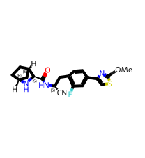 COc1nc(-c2ccc(C[C@@H](C#N)NC(=O)[C@H]3N[C@@H]4CC[C@H]3C4)c(F)c2)cs1